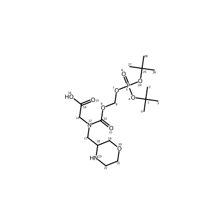 CC(C)(C)OP(=O)(OCOC(=O)N(CC(=O)O)CC1COCCN1)OC(C)(C)C